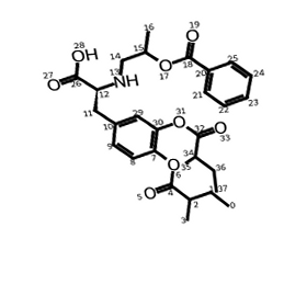 CCC(C)C(=O)Oc1ccc(C[C@H](NCC(C)OC(=O)c2ccccc2)C(=O)O)cc1OC(=O)C(C)CC